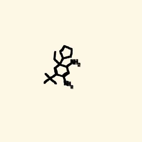 CCC1(C2CCCC2)C=C(C(C)(C)C)C(N)=CC1N